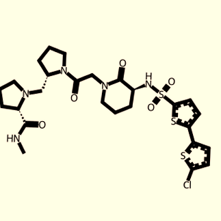 CNC(=O)[C@@H]1CCCN1C[C@@H]1CCCN1C(=O)CN1CCC[C@H](NS(=O)(=O)c2ccc(-c3ccc(Cl)s3)s2)C1=O